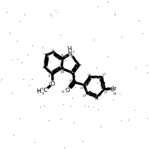 COc1cccc2[nH]cc(C(=O)c3ccc(Br)cc3)c12